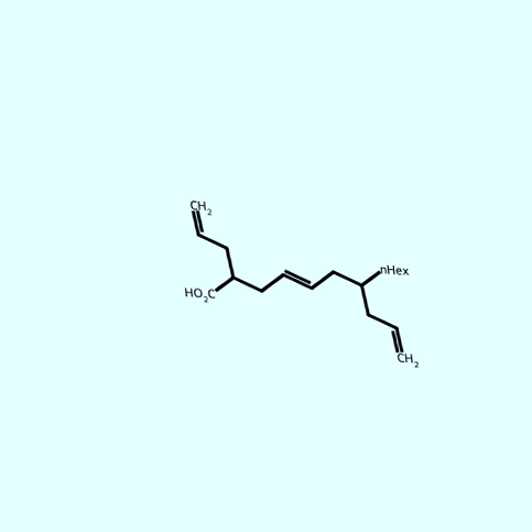 C=CCC(C/C=C/CC(CC=C)C(=O)O)CCCCCC